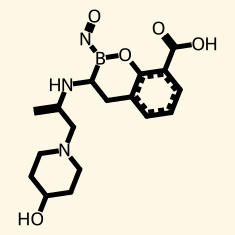 C=C(CN1CCC(O)CC1)NC1Cc2cccc(C(=O)O)c2OB1N=O